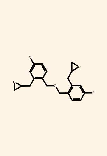 Fc1ccc(COCc2ccc(F)cc2CC2CO2)c(CC2CO2)c1